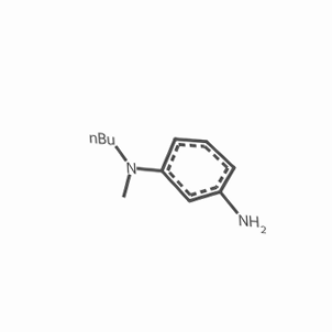 CCCCN(C)c1cccc(N)c1